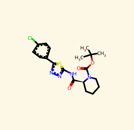 CC(C)(C)OC(=O)N1CCCC[C@H]1C(=O)Nc1nnc(-c2ccc(Cl)cc2)s1